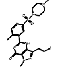 Cc1ccc(S(=O)(=O)N2CCN(C)CC2)cc1-c1nc(=O)c2c([nH]1)c(CCI)nn2C